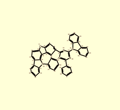 c1ccc(-c2nc(-c3ccc4oc5ccc6c7ccccc7n(-c7ccccc7)c6c5c4c3)nc(-n3c4ccccc4c4ccccc43)n2)cc1